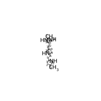 CC1CCC(CCC2CCC(CCC3CNC(C)NC3)CN2)NC1